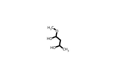 COC(O)CC(C)O